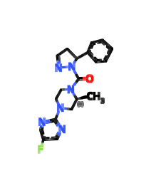 C[C@H]1CN(c2ncc(F)cn2)CCN1C(=O)N1N=CCC1c1ccccc1